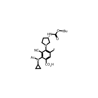 CC(=O)N(c1c(C(=O)O)cc(F)c(N2CC[C@H](NC(=O)OC(C)(C)C)C2)c1C#N)C1CC1